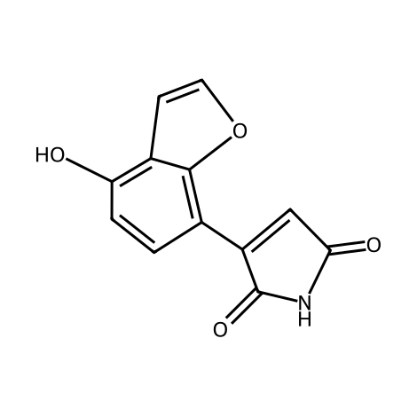 O=C1C=C(c2ccc(O)c3ccoc23)C(=O)N1